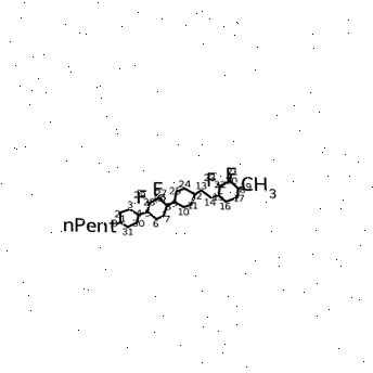 CCCCCC1CCC(C2CCC(C3CCC(CCC4CCC(C)C(F)C4F)CC3)[C@H](F)C2F)CC1